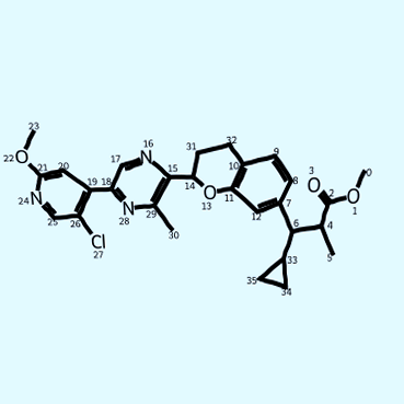 COC(=O)C(C)C(c1ccc2c(c1)OC(c1ncc(-c3cc(OC)ncc3Cl)nc1C)CC2)C1CC1